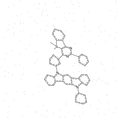 C[Si]1(C)c2ccccc2-c2nc(-c3ccccc3)nc(-c3cccc(-n4c5ccccc5c5cc6c(cc54)c4ccccc4n6-c4ccccc4)c3)c21